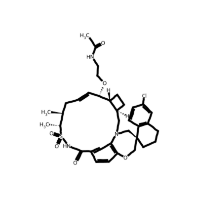 CC(=O)NCCO[C@H]1/C=C/C[C@H](C)[C@@H](C)S(=O)(=O)NC(=O)c2ccc3c(c2)N(C[C@@H]2CC[C@H]21)C[C@@]1(CCCc2cc(Cl)ccc21)CO3